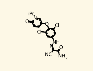 CC(C)n1cc(Oc2c(Cl)cc(NN=C(C#N)C(N)=O)cc2Cl)ccc1=O